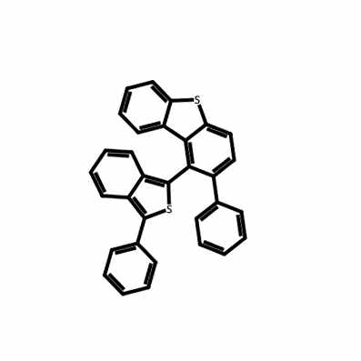 c1ccc(-c2ccc3sc4ccccc4c3c2-c2sc(-c3ccccc3)c3ccccc23)cc1